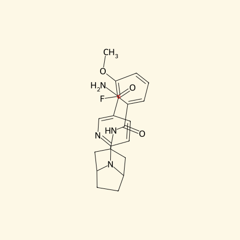 COc1cccc(C(=O)NC2CC3CCC(C2)N3c2ccc(C(N)=O)cn2)c1F